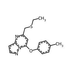 CCSCc1cc(Oc2ccc(C)cc2)n2nccc2n1